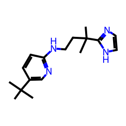 CC(C)(C)c1ccc(NCCC(C)(C)c2ncc[nH]2)nc1